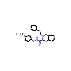 O=C(O)c1ccc(CNC(=O)C2Cc3ccccc3CN2CCc2ccccc2)cc1